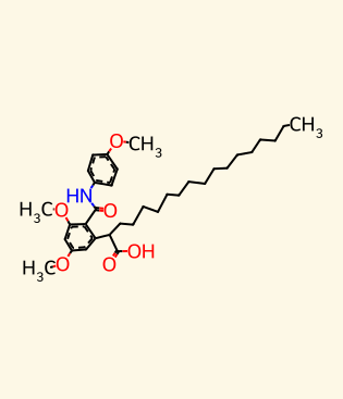 CCCCCCCCCCCCCCCCC(C(=O)O)c1cc(OC)cc(OC)c1C(=O)Nc1ccc(OC)cc1